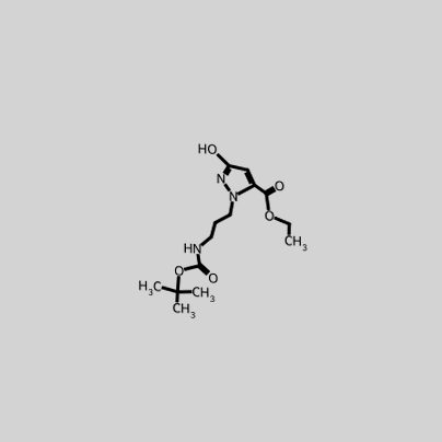 CCOC(=O)c1cc(O)nn1CCCNC(=O)OC(C)(C)C